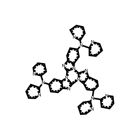 c1ccc(N(c2ccc3nc4n(c3c2)c2nc3ccc(N(c5ccccn5)c5ccccn5)cc3n2c2nc3ccc(N(c5ccccn5)c5ccccn5)cc3n42)c2ccccn2)nc1